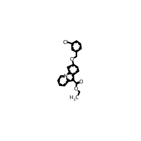 CCOC(=O)c1c2ccc(OCc3cccc(Cl)c3)cc2n2ccccc12